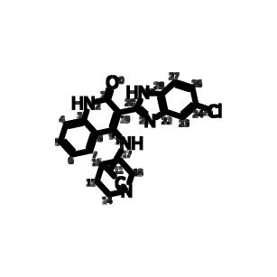 O=c1[nH]c2ccccc2c(NC2CN3CCC2CC3)c1-c1nc2cc(Cl)ccc2[nH]1